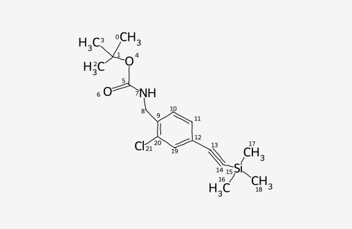 CC(C)(C)OC(=O)NCc1ccc(C#C[Si](C)(C)C)cc1Cl